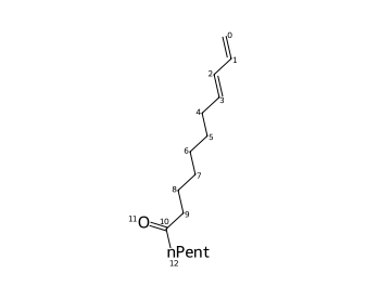 C=CC=CCCCCCCC(=O)CCCCC